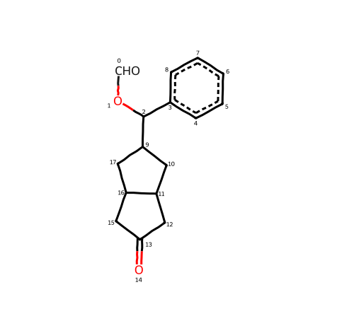 O=COC(c1ccccc1)C1CC2CC(=O)CC2C1